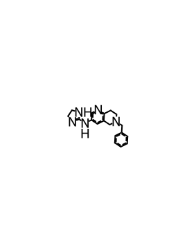 c1ccc(CN2CCc3ncc(NC4=NCCN4)cc3C2)cc1